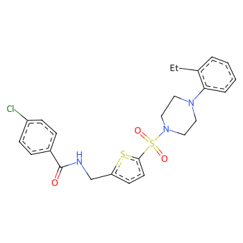 CCc1ccccc1N1CCN(S(=O)(=O)c2ccc(CNC(=O)c3ccc(Cl)cc3)s2)CC1